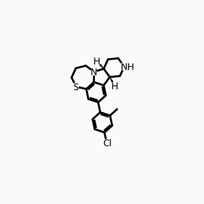 Cc1cc(Cl)ccc1-c1cc2c3c(c1)[C@H]1CNCC[C@H]1N3CCCS2